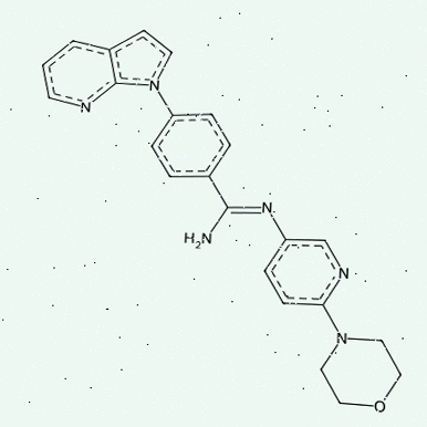 NC(=Nc1ccc(N2CCOCC2)nc1)c1ccc(-n2ccc3cccnc32)cc1